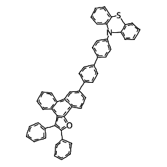 c1ccc(-c2oc3c4ccc(-c5ccc(-c6ccc(N7c8ccccc8Sc8ccccc87)cc6)cc5)cc4c4ccccc4c3c2-c2ccccc2)cc1